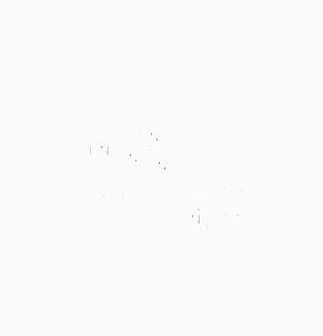 CCC(CO)Nc1nc(N2CCC(c3noc4ccccc34)CC2)nc2c1[S+]([O-])CC2